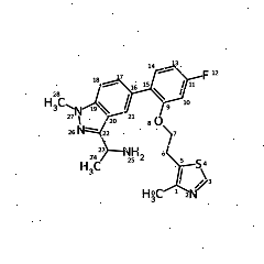 Cc1ncsc1CCOc1cc(F)ccc1-c1ccc2c(c1)c(C(C)N)nn2C